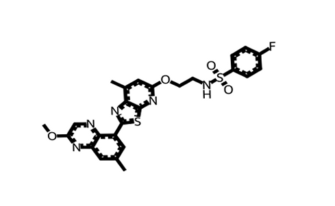 COc1cnc2c(-c3nc4c(C)cc(OCCNS(=O)(=O)c5ccc(F)cc5)nc4s3)cc(C)cc2n1